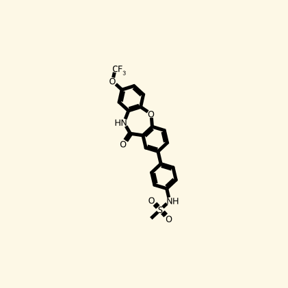 CS(=O)(=O)Nc1ccc(-c2ccc3c(c2)C(=O)Nc2cc(OC(F)(F)F)ccc2O3)cc1